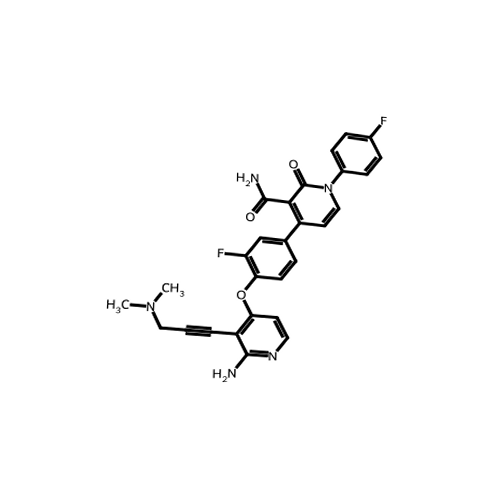 CN(C)CC#Cc1c(Oc2ccc(-c3ccn(-c4ccc(F)cc4)c(=O)c3C(N)=O)cc2F)ccnc1N